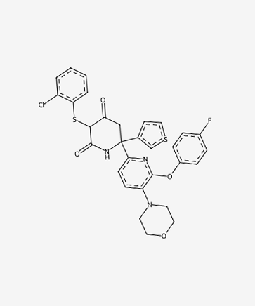 O=C1CC(c2ccsc2)(c2ccc(N3CCOCC3)c(Oc3ccc(F)cc3)n2)NC(=O)C1Sc1ccccc1Cl